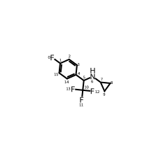 Fc1ccc(C(NC2CC2)C(F)(F)F)cc1